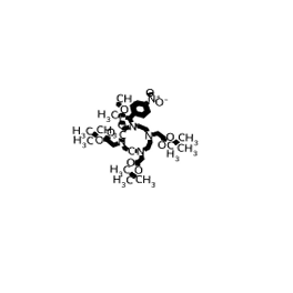 CCOP(C)(=O)C(c1ccc([N+](=O)[O-])cc1)N1CCN(CC(=O)OC(C)(C)C)CCN(CC(=O)OC(C)(C)C)CCN(CC(=O)OC(C)(C)C)CC1